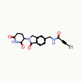 CCC#CC(=O)NCc1ccc2c(c1)CN(C1CCC(=O)NC1=O)C2=O